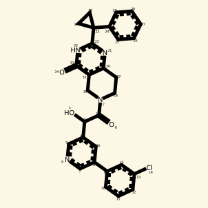 O=C(C(O)c1cncc(-c2cccc(Cl)c2)c1)N1CCc2nc(C3(c4ccccc4)CC3)[nH]c(=O)c2C1